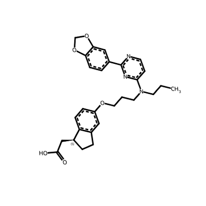 CCCN(CCCOc1ccc2c(c1)CC[C@H]2CC(=O)O)c1ccnc(-c2ccc3c(c2)OCO3)n1